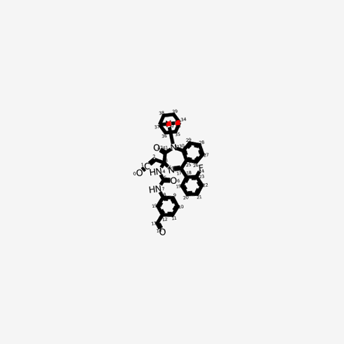 O=C=CC1(NC(=O)Nc2cccc(C=O)c2)N=C(c2ccccc2F)c2ccccc2N(N2CC3CCC(CC3)C2)C1=O